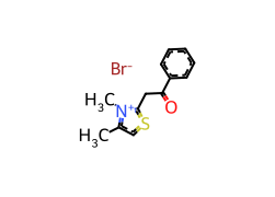 Cc1csc(CC(=O)c2ccccc2)[n+]1C.[Br-]